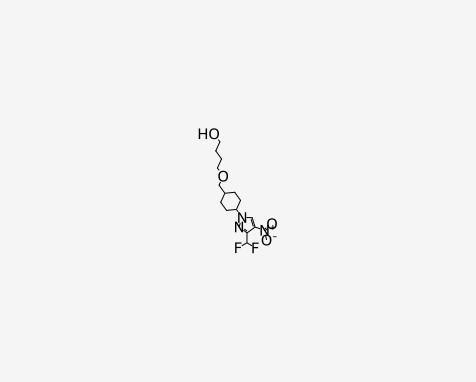 O=[N+]([O-])c1cn(C2CCC(COCCCCO)CC2)nc1C(F)F